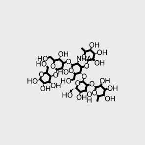 CC(=O)N[C@H]1C(O[C@@H]2OC(C)[C@@H](O)[C@H](O)C2O)[C@H](O[C@@H]2O[C@@H](CO)[C@H](O)C(O)C2O[C@@H]2OC(C)[C@@H](O)C(O)C2O)C(CO)O[C@H]1OC1[C@@H](O)C(CO)O[C@@H](O[C@@H]2C(CO)O[C@@H](O)[C@@H](O)C2O)[C@H]1O